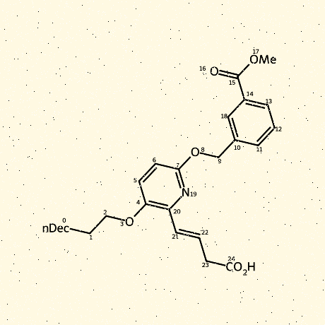 CCCCCCCCCCCCOc1ccc(OCc2cccc(C(=O)OC)c2)nc1C=CCC(=O)O